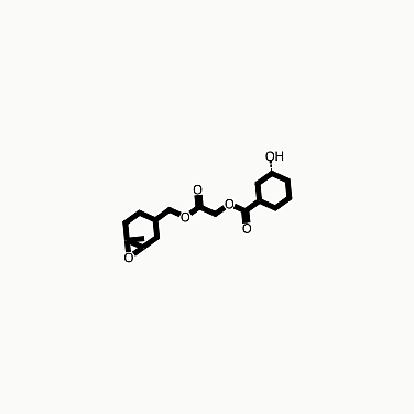 CC12CCC(COC(=O)COC(=O)C3CCC[C@@H](O)C3)CC1O2